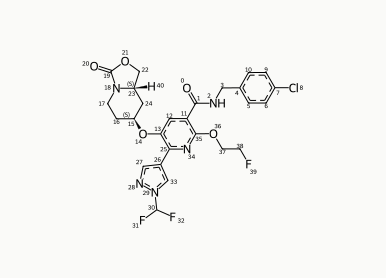 O=C(NCc1ccc(Cl)cc1)c1cc(O[C@H]2CCN3C(=O)OC[C@@H]3C2)c(-c2cnn(C(F)F)c2)nc1OCCF